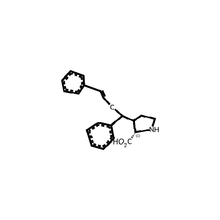 O=C(O)[C@H]1NCCC1C(CC=Cc1ccccc1)c1ccccc1